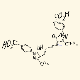 CC1=NN(c2ccc(C(=O)O)cc2)C(=O)/C1=C\C=CC=Cc1c(C)nn(-c2ccc(C(=O)O)cc2)c1O